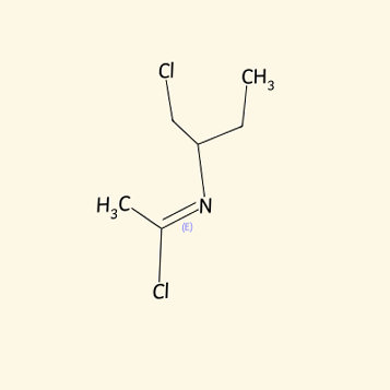 CCC(CCl)/N=C(\C)Cl